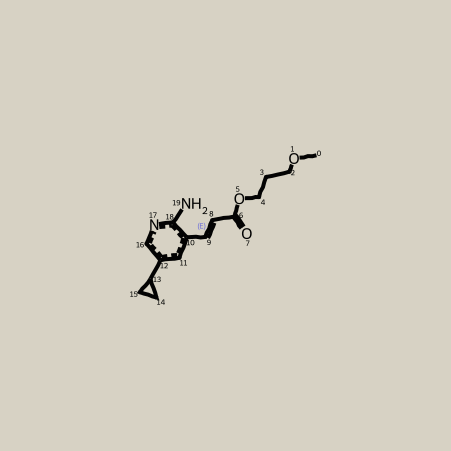 COCCCOC(=O)/C=C/c1cc(C2CC2)cnc1N